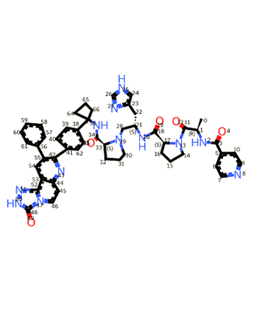 C[C@@H](NC(=O)c1ccncc1)C(=O)N1CCC[C@H]1C(=O)N[C@@H](Cc1c[nH]cn1)CN1CCC[C@H]1C(=O)NC1(c2ccc(-c3nc4ccn5c(=O)[nH]nc5c4cc3-c3ccccc3)cc2)CCC1